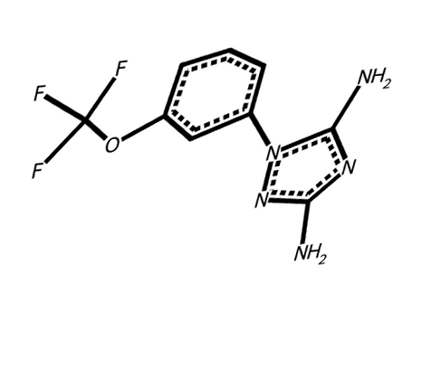 Nc1nc(N)n(-c2cccc(OC(F)(F)F)c2)n1